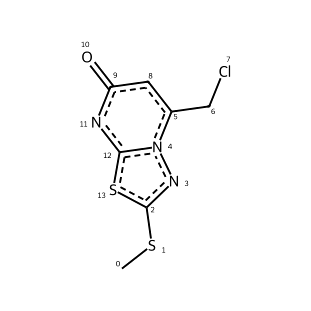 CSc1nn2c(CCl)cc(=O)nc2s1